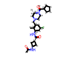 CC(=O)N[C@H]1C[C@@H](C(=O)Nc2cc(F)cc(CN3CCN(C(=O)C4CCCC4)[C@@H](C)C3)c2C)C1